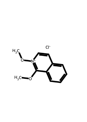 COc1c2ccccc2cc[n+]1OC.[Cl-]